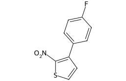 O=[N+]([O-])c1sccc1-c1ccc(F)cc1